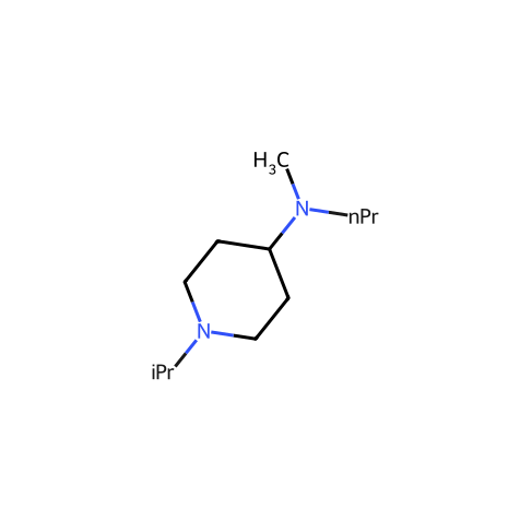 CCCN(C)C1CCN(C(C)C)CC1